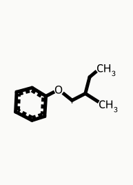 CCC(C)[CH]Oc1ccccc1